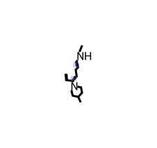 C=C/C(=C\C/C=C/NCC)N1CCC(C)CC1